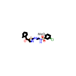 COc1ccc(Cl)cc1S(=O)(=O)NCCNc1ncc(C(=O)c2ccccc2C)s1